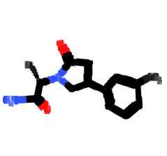 CC[C@@H](C(N)=O)N1CC(c2cccc([N+](=O)[O-])c2)=CC1=O